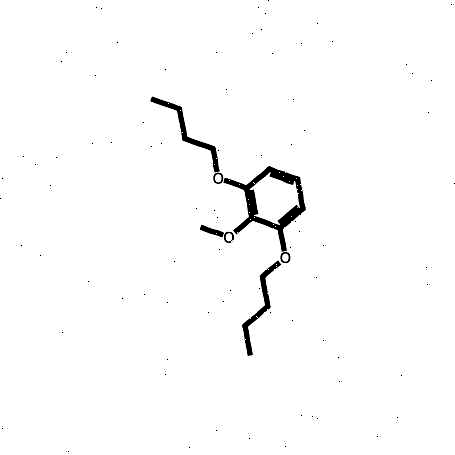 CCCCOc1cccc(OCCCC)c1OC